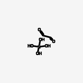 O=CC=O.O[Si](O)(O)O